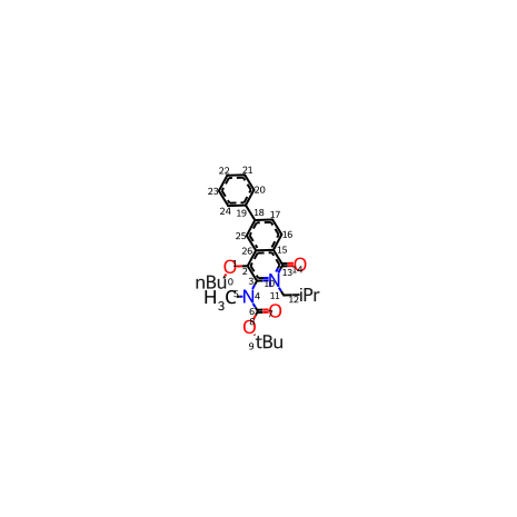 CCCCOc1c(N(C)C(=O)OC(C)(C)C)n(CC(C)C)c(=O)c2ccc(-c3ccccc3)cc12